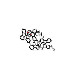 CC1(C)c2ccccc2-c2ccc(N(c3ccc4c(c3)C(C)(C)c3ccccc3-4)c3cccc4c3oc3c(-c5ccc(C6(c7ccccc7)c7ccccc7-c7ccccc76)cc5)cccc34)cc21